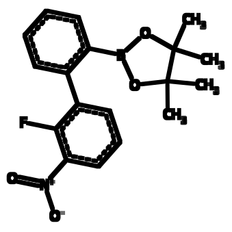 CC1(C)OB(c2ccccc2-c2cccc([N+](=O)[O-])c2F)OC1(C)C